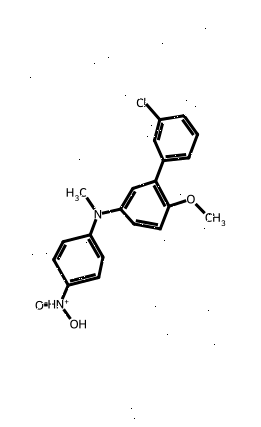 COc1ccc(N(C)c2ccc([NH+]([O-])O)cc2)cc1-c1cccc(Cl)c1